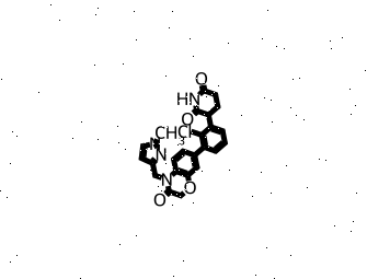 Cn1ccc(CN2C(=O)COc3cc(-c4cccc(C5CCC(=O)NC5=O)c4Cl)ccc32)n1